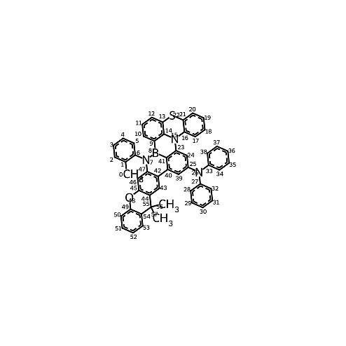 Cc1ccccc1N1B2c3cccc4c3N(c3ccccc3S4)c3cc(N(c4ccccc4)c4ccccc4)cc(c32)-c2cc3c(cc21)Oc1ccccc1C3(C)C